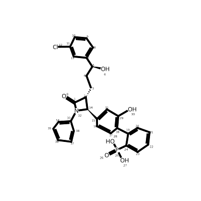 O=C1[C@H](CC[C@H](O)c2cccc(Cl)c2)[C@@H](c2ccc(-c3ccccc3P(=O)(O)O)c(O)c2)N1c1ccccc1